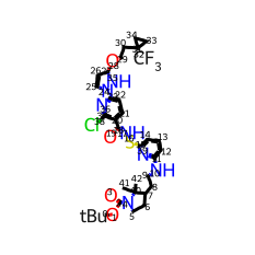 CC(C)(C)OC(=O)N1CCC(CCNc2cccc(SNC(=O)c3ccc(N4C=CC(OCCC5(C(F)(F)F)CC5)N4)nc3Cl)n2)C1(C)C